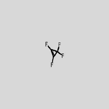 FC1=C(F)C1(F)F